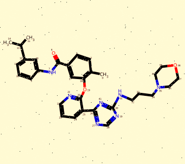 Cc1ccc(C(=O)Nc2cccc(C(C)C)c2)cc1Oc1ncccc1-c1ncnc(NCCCN2CCOCC2)n1